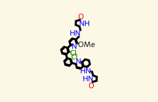 COc1nc(-c2cccc(-c3cccc(-c4ccc5c(n4)CCCC5NCC4CCC(=O)N4)c3Cl)c2Cl)ccc1CNCC1CCC(=O)N1